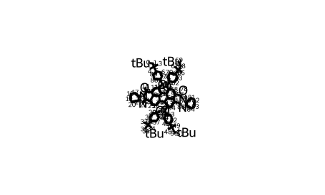 CC(C)(C)CC(C)(C)c1ccc(Oc2cc3c(=O)n4c5ccccc5nc4c4cc(Oc5ccc(C(C)(C)CC(C)(C)C)cc5)c5c6c(Oc7ccc(C(C)(C)CC(C)(C)C)cc7)cc7c8c(cc(Oc9ccc(C(C)(C)CC(C)(C)C)cc9)c(c2c5c34)c68)c(=O)n2c3ccccc3nc72)cc1